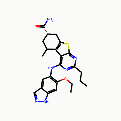 CCCc1nc(Nc2cc3cn[nH]c3cc2OCC)c2c3c(sc2n1)C[C@@H](C(N)=O)CC3C